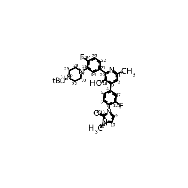 Cc1cc(-c2ccc(-n3ccn(C)c3=O)c(F)c2)c(O)c(-c2ccc(F)c(N3CCN(C(C)(C)C)CC3)c2)n1